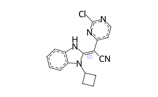 N#C/C(=C1/Nc2ccccc2N1C1CCC1)c1ccnc(Cl)n1